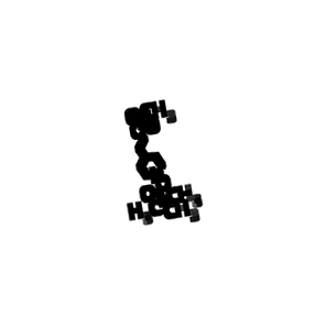 CC(C)(C)C(=O)ON1CCC(CCOS(C)(=O)=O)CC1